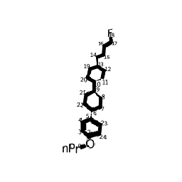 CCCOc1ccc([C@H]2CC[C@H]([C@H]3CC[C@H](CCC=CF)CC3)CC2)cc1